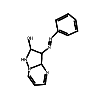 OC1NN2C=CC=NC2C1N=Nc1ccccc1